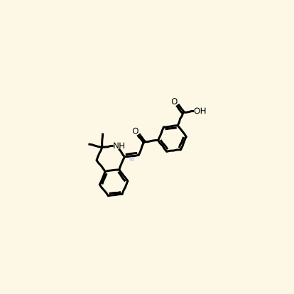 CC1(C)Cc2ccccc2/C(=C/C(=O)c2cccc(C(=O)O)c2)N1